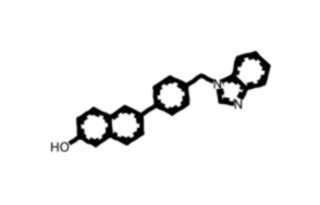 Oc1ccc2cc(-c3ccc(Cn4cnc5ccccc54)cc3)ccc2c1